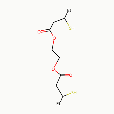 CCC(S)CC(=O)OCCOC(=O)CC(S)CC